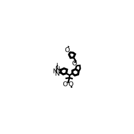 COC(=O)C(C)(C)C(c1ccc2c(c1)C(OCc1ccc(OC)cc1)CC2)c1ccc2c(c1)nnn2I